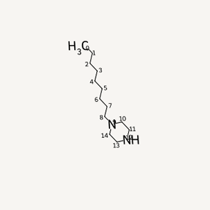 CCCCCCCCCN1CCNCC1